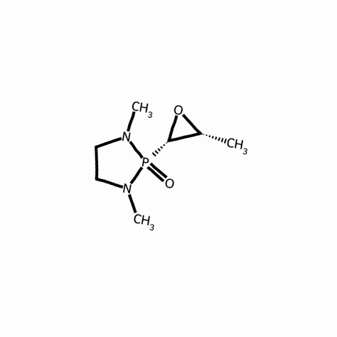 C[C@H]1O[C@H]1P1(=O)N(C)CCN1C